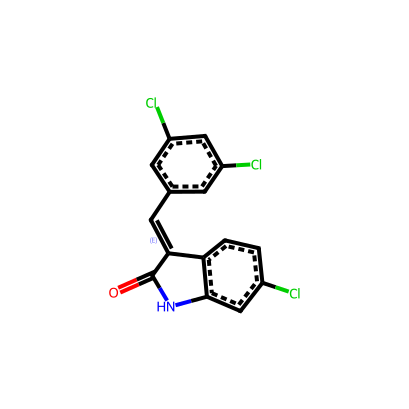 O=C1Nc2cc(Cl)ccc2/C1=C\c1cc(Cl)cc(Cl)c1